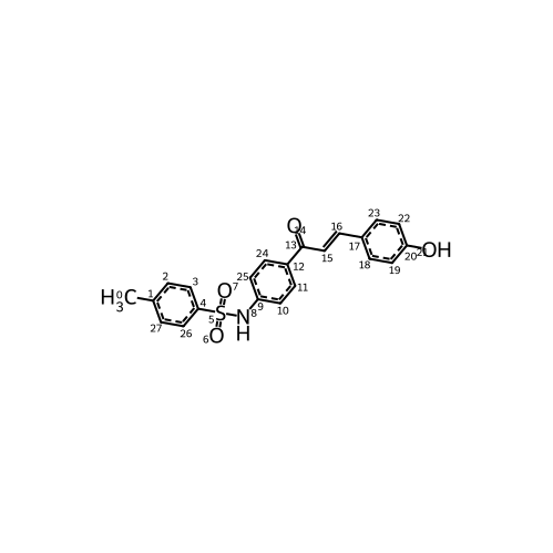 Cc1ccc(S(=O)(=O)Nc2ccc(C(=O)/C=C/c3ccc(O)cc3)cc2)cc1